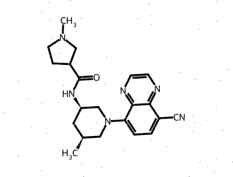 C[C@H]1C[C@@H](NC(=O)C2CCN(C)C2)CN(c2ccc(C#N)c3nccnc23)C1